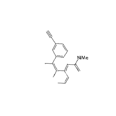 C#Cc1cccc(/C(C)=C(/C)C(=CC(=C)NC)/C=C\C)c1